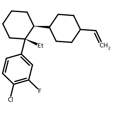 C=CC1CCC([C@@H]2CCCC[C@@]2(CC)c2ccc(Cl)c(F)c2)CC1